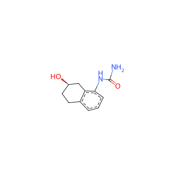 NC(=O)Nc1cccc2c1C[C@H](O)CC2